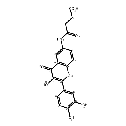 O=C(O)CCC(=O)Nc1ccc2oc(-c3ccc(O)c(O)c3)c(O)c(=O)c2c1